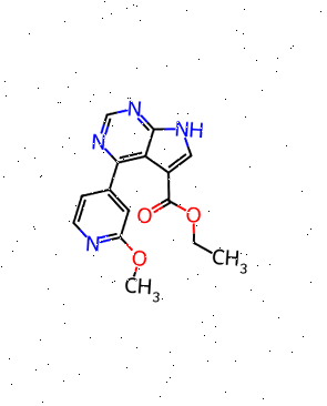 CCOC(=O)c1c[nH]c2ncnc(-c3ccnc(OC)c3)c12